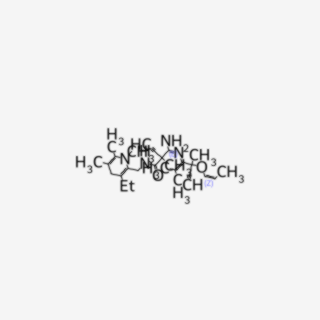 C#CC(C)(O/C=C\C)C(/N=C(/N)C(C)(C#C)C(=O)NCC1=C(CC)CC(C)=C(C)N1C)=C(C)C